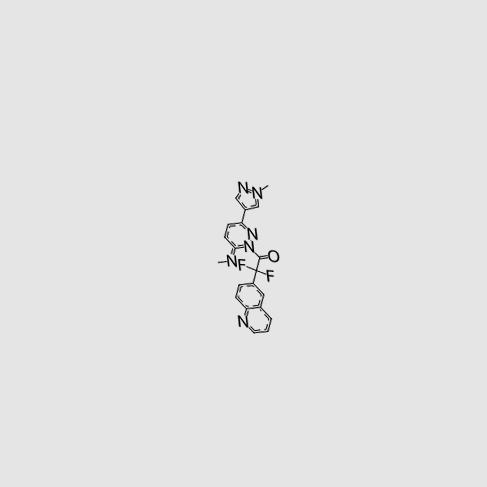 C/N=c1\ccc(-c2cnn(C)c2)nn1C(=O)C(F)(F)c1ccc2ncccc2c1